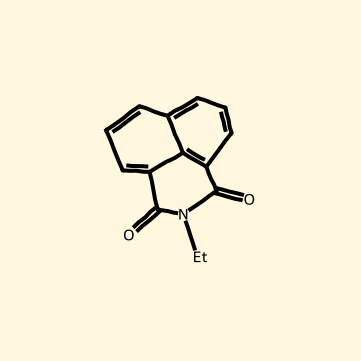 [CH2]CN1C(=O)c2cccc3cccc(c23)C1=O